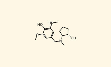 CNc1cc(CN(C)[C@@H]2CCC[C@@H]2O)cc(OC)c1O